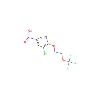 O=C(O)c1cnc(OCCOC(F)(F)F)c(Cl)c1